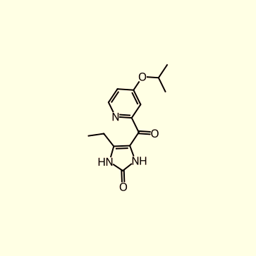 CCc1[nH]c(=O)[nH]c1C(=O)c1cc(OC(C)C)ccn1